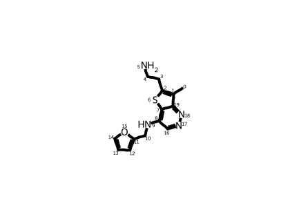 Cc1c(CCN)sc2c(NCc3ccco3)cnnc12